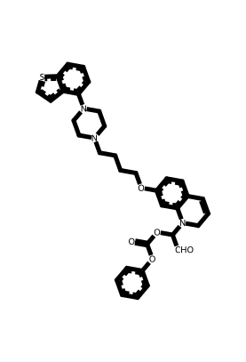 O=CC(OC(=O)Oc1ccccc1)N1CC=Cc2ccc(OCCCCN3CCN(c4cccc5sccc45)CC3)cc21